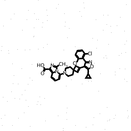 Cc1nc(C(=O)O)c2cccc(N3CCC4(C=C(c5c(-c6c(Cl)cccc6Cl)noc5C5CC5)C4)CC3)n12